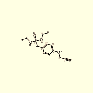 C#CCOc1ccc(CP(=O)(OCC)OCC)cc1